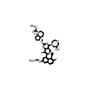 C#Cc1c(F)ccc2cc(OCOC)cc(-c3ncc4c(N5CCOC[C@@](C)(O)C5)nc(OC[C@]56CCC[C@H]5N(C(=O)OC(C)(C)C)CCC6)nc4c3F)c12